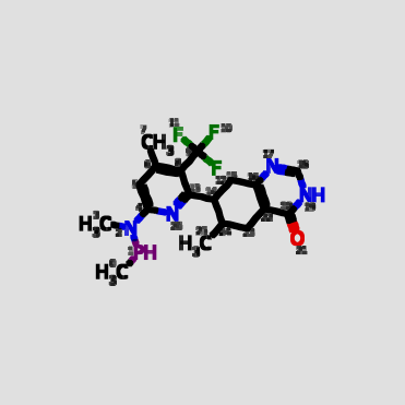 CPN(C)c1cc(C)c(C(F)(F)F)c(C2Cc3nc[nH]c(=O)c3CC2C)n1